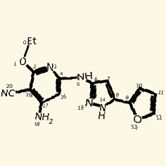 CCOc1nc(Nc2cc(-c3ccco3)[nH]n2)cc(N)c1C#N